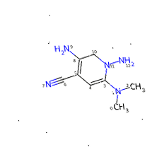 CN(C)C1=CC(C#N)=C(N)CN1N